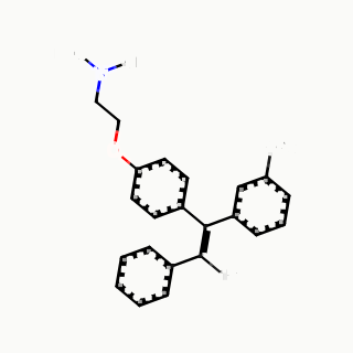 CC(=O)Oc1cccc(/C(=C(/c2ccccc2)C(C)C)c2ccc(OCCN(C)C)cc2)c1